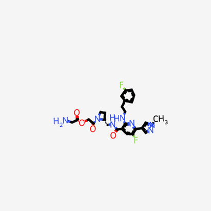 Cn1cc(-c2nc(NCCc3cccc(F)c3)c(C(=O)NC[C@H]3CCN3C(=O)COC(=O)CN)cc2F)cn1